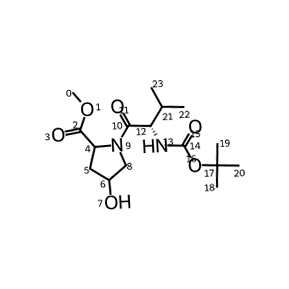 COC(=O)C1CC(O)CN1C(=O)[C@@H](NC(=O)OC(C)(C)C)C(C)C